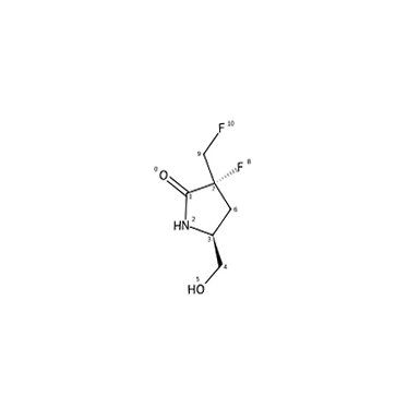 O=C1N[C@H](CO)C[C@]1(F)CF